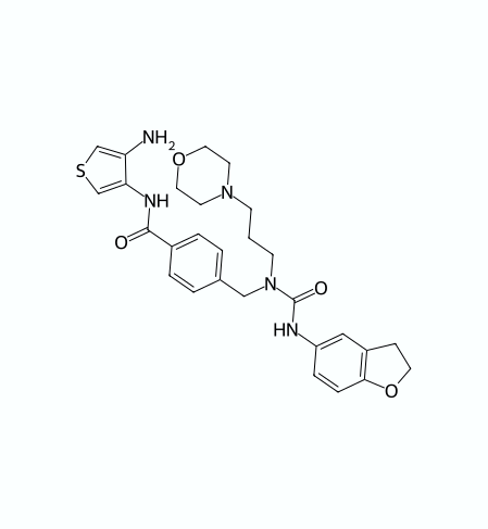 Nc1cscc1NC(=O)c1ccc(CN(CCCN2CCOCC2)C(=O)Nc2ccc3c(c2)CCO3)cc1